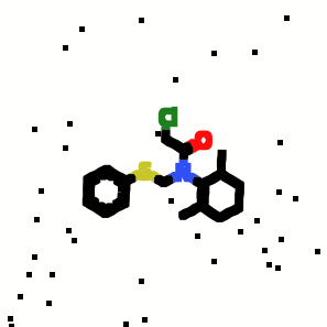 CC1=C(N(CSc2ccccc2)C(=O)CCl)C(C)CCC1